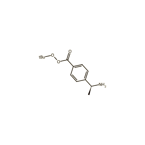 C[C@H](N)c1ccc(C(=O)OOC(C)(C)C)cc1